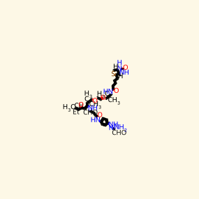 CCC(C)(C)CC(=O)/C(C=O)=C(\CC(C)(C)COCCOCC(C)(C)CNC(=O)CCCCC1SC[C@@H]2NC(=O)N[C@H]12)NCCCC(=O)Nc1ccc(N/N=C(\N)C=O)cc1